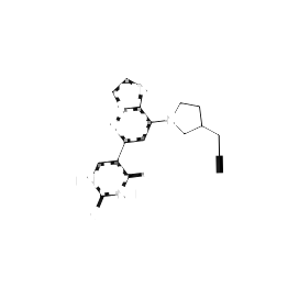 C#CCC1CCN(c2cc(-c3c[nH]c(=O)[nH]c3=O)nn3ccnc23)C1